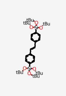 CC(C)(C)O[Si](OC(C)(C)C)(OC(C)(C)C)c1ccc(C=Cc2ccc([Si](OC(C)(C)C)(OC(C)(C)C)OC(C)(C)C)cc2)cc1